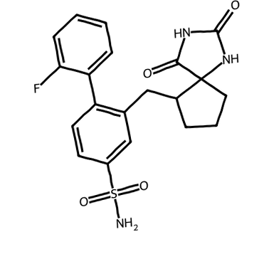 NS(=O)(=O)c1ccc(-c2ccccc2F)c(CC2CCCC23NC(=O)NC3=O)c1